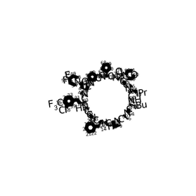 CC[C@H](C)[C@H]1CN(C)[C@@H](C)CN2CC[C@H]2CN(C)[C@@H](CC2CCCCC2)CN(C)CCN[C@@H](CCc2ccc(C(F)(F)F)c(Cl)c2)CN(C)[C@@H](CC(=O)N2CCC(F)(F)CC2)CNC2(CCCC2)CN(C)[C@@H](C2CCCC2)CN(C)[C@H](C(=O)N2CCOCC2)CCN(C)[C@@H](CC(C)C)CN1